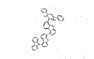 c1ccc(C2=NC(c3ccccc3)NC(c3cccc4c3sc3cccc(-c5cccc6c5sc5cccc(-n7c8ccccc8c8ccccc87)c56)c34)N2)cc1